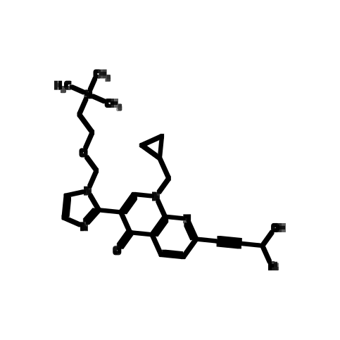 CCC(O)C#Cc1ccc2c(=O)c(-c3nccn3COCC[Si](C)(C)C)cn(CC3CC3)c2n1